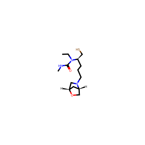 CCN(C(=O)NC)[C@@H](CS)CCCN1C[C@@H]2C[C@H]1CO2